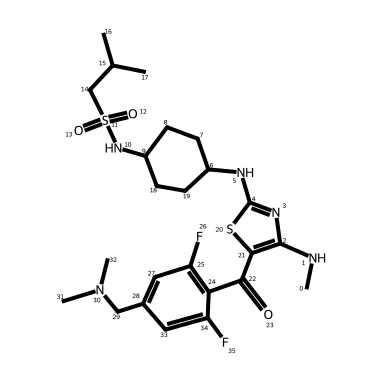 CNc1nc(NC2CCC(NS(=O)(=O)CC(C)C)CC2)sc1C(=O)c1c(F)cc(CN(C)C)cc1F